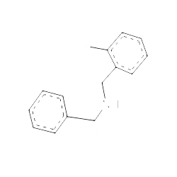 CCc1ccccc1CN[C@H](C)c1ccccc1